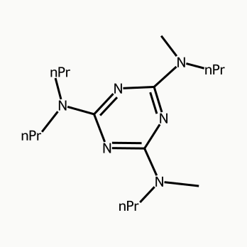 CCCN(C)c1nc(N(C)CCC)nc(N(CCC)CCC)n1